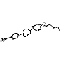 CCCCCOc1ccc(C2CCC(c3ccc(C#N)cc3)CC2)cc1